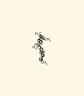 C=CC(F)(F)C1=CC(C)C=C1c1csc2c(N[C@@H](C)CC3CCN(S(=O)(=O)c4ccc(-c5cc(C)no5)s4)CC3)nccc12